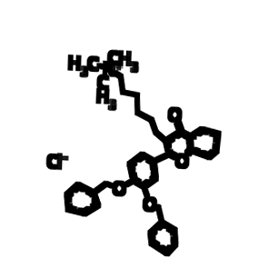 C[N+](C)(C)CCCCCCc1c(-c2ccc(OCc3ccccc3)c(OCc3ccccc3)c2)oc2ccccc2c1=O.[Cl-]